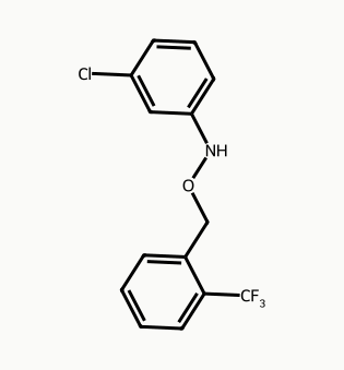 FC(F)(F)c1ccccc1CONc1cccc(Cl)c1